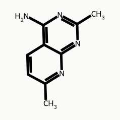 Cc1ccc2c(N)nc(C)nc2n1